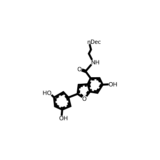 CCCCCCCCCCCCNC(=O)c1cc(O)cc2oc(-c3cc(O)cc(O)c3)cc12